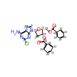 Nc1nc(Cl)nc2c1ncn2[C@@H]1O[C@H](COC(=O)c2ccccc2)[C@@H](OC(=O)c2ccccc2)[C@H]1F